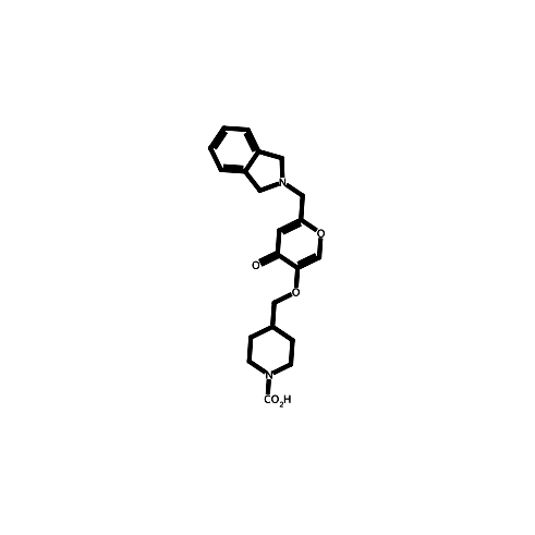 O=C(O)N1CCC(COc2coc(CN3Cc4ccccc4C3)cc2=O)CC1